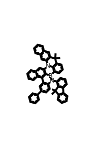 CC1(C)c2cc3ccccc3cc2N2c3cc4ccccc4c4c3B(c3cccc1c32)N(c1cccc2c1C(C)(C)c1ccccc1-2)c1ccc(-c2ccccc2)cc1-4